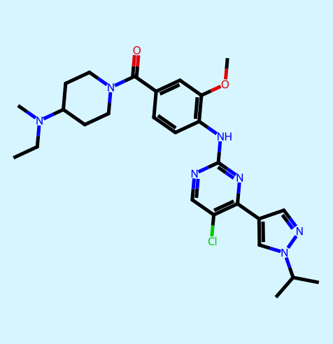 CCN(C)C1CCN(C(=O)c2ccc(Nc3ncc(Cl)c(-c4cnn(C(C)C)c4)n3)c(OC)c2)CC1